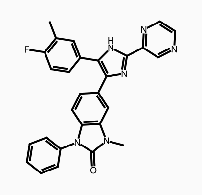 Cc1cc(-c2[nH]c(-c3cnccn3)nc2-c2ccc3c(c2)n(C)c(=O)n3-c2ccccc2)ccc1F